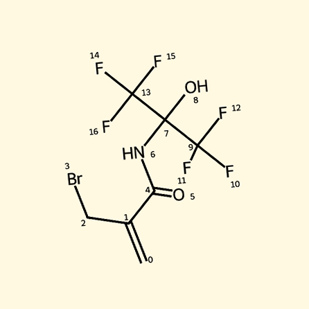 C=C(CBr)C(=O)NC(O)(C(F)(F)F)C(F)(F)F